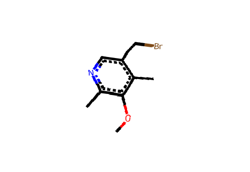 COc1c(C)ncc(CBr)c1C